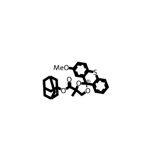 COc1ccc2c(c1)[C@@]1(OCC(C)(C(=O)OC34CC5CC(CC(C5)C3)C4)O1)c1ccccc1S2